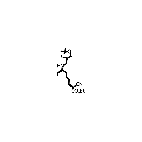 C/C=C(\CCC/C=C(\C#N)C(=O)OCC)NCC1COC(C)(C)O1